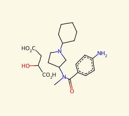 CN(C(=O)c1ccc(N)cc1)C1CCN(C2CCCCC2)C1.O=C(O)CC(O)C(=O)O